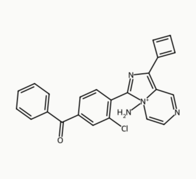 N[N+]12C=CN=CC1=C(C1=CC=C1)N=C2c1ccc(C(=O)c2ccccc2)cc1Cl